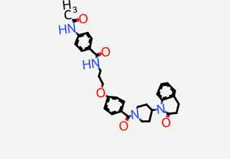 CC(=O)Nc1ccc(C(=O)NCCCOc2ccc(C(=O)N3CCC(N4C(=O)CCc5ccccc54)CC3)cc2)cc1